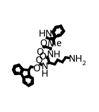 COC(=O)[C@H](Cc1c[nH]c2ccccc12)NC(=O)C(CCCCN)NC(=O)OCC1c2ccccc2-c2ccccc21